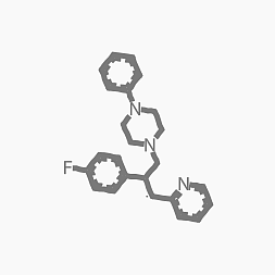 Fc1ccc(C([CH]c2ccccn2)CN2CCN(c3ccccc3)CC2)cc1